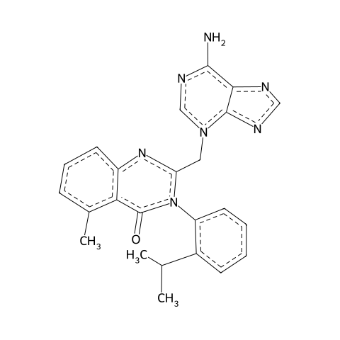 Cc1cccc2nc(Cn3cnc(N)c4ncnc3-4)n(-c3ccccc3C(C)C)c(=O)c12